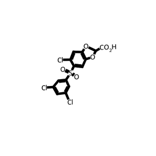 O=C(O)C1Oc2cc(Cl)c(S(=O)(=O)c3cc(Cl)cc(Cl)c3)cc2O1